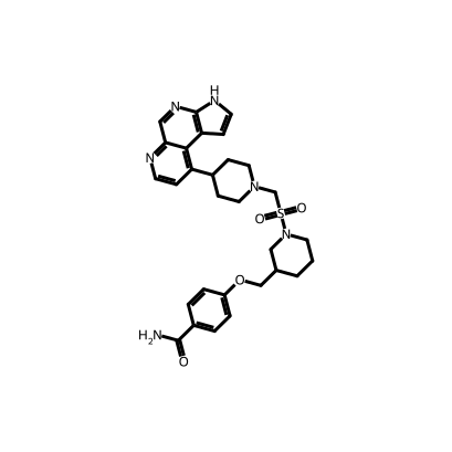 NC(=O)c1ccc(OCC2CCCN(S(=O)(=O)CN3CCC(c4ccnc5cnc6[nH]ccc6c45)CC3)C2)cc1